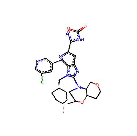 CC1CN(c2nc3cc(-c4noc(=O)[nH]4)nc(-c4cncc(Cl)c4)c3n2C[C@H]2CC[C@H](C)CC2)C2COCCC2O1